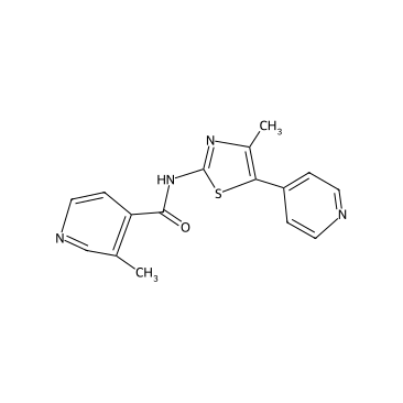 Cc1cnccc1C(=O)Nc1nc(C)c(-c2ccncc2)s1